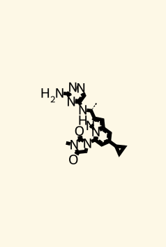 C[C@@H](Nc1cnnc(N)n1)c1cc2cc(C3CC3)cc(N3CC(=O)N(C)C3=O)n2n1